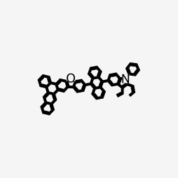 C=Cc1c(/C=C\C)n(-c2ccccc2)c2ccc(-c3c4ccccc4c(-c4ccc5c(c4)oc4cc6c7ccccc7c7cc8ccccc8cc7c6cc45)c4ccccc34)cc12